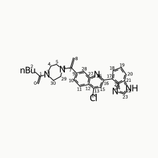 C=C(CCCC)N1CCN(C(=C)c2ccc3c(Cl)cc(-c4cccc5[nH]cnc45)nc3c2)CC1